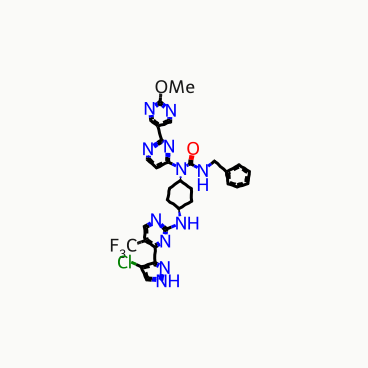 COc1ncc(-c2nccc(N(C(=O)NCc3ccccc3)[C@H]3CC[C@H](Nc4ncc(C(F)(F)F)c(-c5n[nH]cc5Cl)n4)CC3)n2)cn1